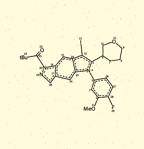 COc1cc(-n2c(C3CCCOC3)c(I)c3cc4c(cnn4C(=O)C(C)(C)C)cc32)ccc1F